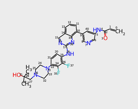 C=CC(=O)Nc1cncc(-c2cccc3cnc(Nc4ccc(N5CCN(CC(C)(C)O)CC5)c(F)c4F)nc23)c1